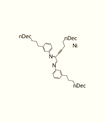 CCCCCCCCCCCCC#CC(C=Nc1cccc(CCCCCCCCCCCCC)c1)=Nc1cccc(CCCCCCCCCCCCC)c1.[Ni]